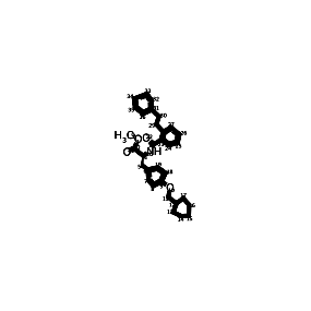 COC(=O)[C@H](Cc1ccc(OCC2CCCCC2)cc1)NC(=O)c1ccccc1CCc1ccccc1